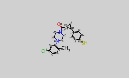 Cc1ccc(Cl)cc1N1CCN(C(=O)[C@H]2C[C@H]2c2ccc(S)cc2)CC1